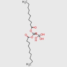 CCCCCCCCCC(=O)O[SiH](OC(=O)CCCCCCCCC)O[Si](O)(O)O